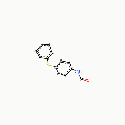 O=CNc1ccc(Sc2ccccc2)cc1